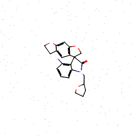 Nc1cccc2c1C1(COc3cc4c(cc31)CCO4)C(=O)N2CC1CCCO1